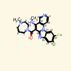 CNc1c(C(=O)N2CCCN(C)CC2)c2nc3cc(F)c(F)cc3n2c2ccncc12